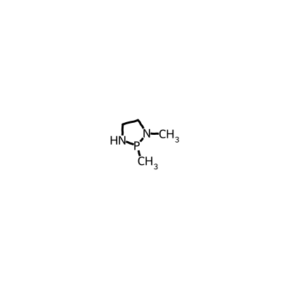 CN1CCNP1C